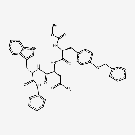 CC(C)(C)OC(=O)N[C@@H](Cc1ccc(OCc2ccccc2)cc1)C(=O)N[C@@H](CC(N)=O)C(=O)N[C@@H](Cc1c[nH]c2ccccc12)C(=O)Nc1ccccc1